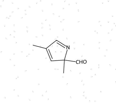 CC1=CC(C)(C=O)N=C1